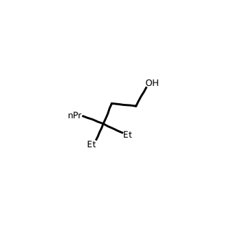 CCCC(CC)(CC)CCO